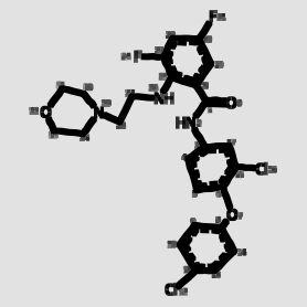 O=C(Nc1ccc(Oc2ccc(Cl)cc2)c(Cl)c1)c1cc(F)cc(F)c1NCCN1CCOCC1